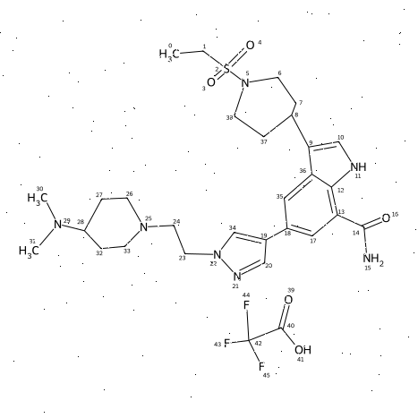 CCS(=O)(=O)N1CCC(c2c[nH]c3c(C(N)=O)cc(-c4cnn(CCN5CCC(N(C)C)CC5)c4)cc23)CC1.O=C(O)C(F)(F)F